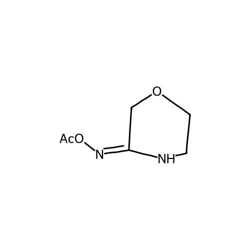 CC(=O)ON=C1COCCN1